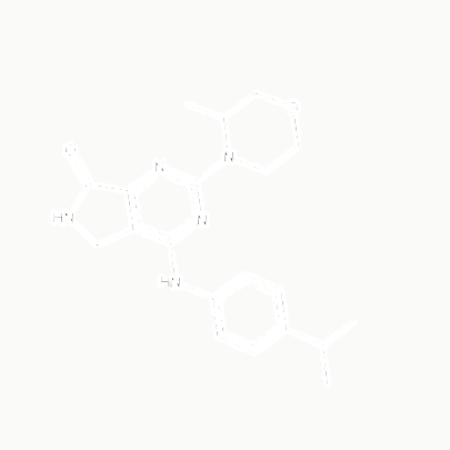 CC(C)c1ccc(Nc2nc(N3CCOCC3C)nc3c2CNC3=O)cc1